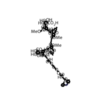 C=C1CC2C(O)N(C(=O)OCc3ccc(O[C@@H]4O[C@H](C(=O)O)[C@@H](O)[C@H](O)[C@H]4O)c(C(=O)NCCOC)c3)c3cc(OCCCCCOc4cc5c(cc4OC)C(=O)N4CC(C)C[C@H]4C(O)N5C(=O)OCc4ccc(O[C@@H]5O[C@H](C(=O)O)[C@@H](O)[C@H](O)[C@H]5O)c(C(=O)NCCCNC(=O)CCOCCOCCOCCOCCC(=O)NCCC(=O)N5Cc6ccccc6/C=C\c6ccccc65)c4)c(OC)cc3C(=O)N2C1